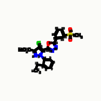 CCOC(=O)c1nn(-c2ccccc2CC(F)(F)F)c(-c2nnc(-c3cccc(S(C)(=O)=O)c3)o2)c1Cl